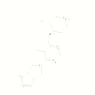 Cc1c(O[C@@H]2CCNC[C@H]2F)ncnc1N1Cc2cnn(C)c2C1